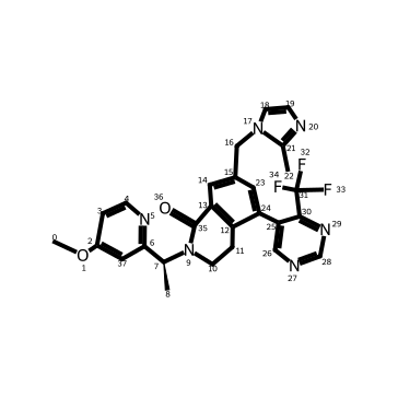 COc1ccnc([C@H](C)N2CCc3c(cc(Cn4ccnc4C)cc3-c3cncnc3C(F)(F)F)C2=O)c1